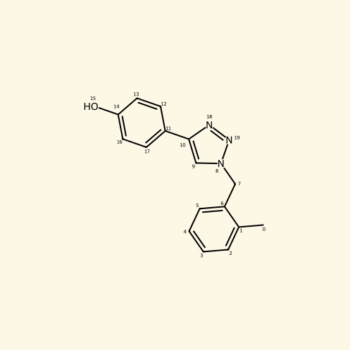 Cc1ccccc1Cn1cc(-c2ccc(O)cc2)nn1